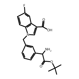 CC(C)(C)OC(=O)C(N)c1cccc(Cn2cc(C(=O)O)c3cc(F)ccc32)c1